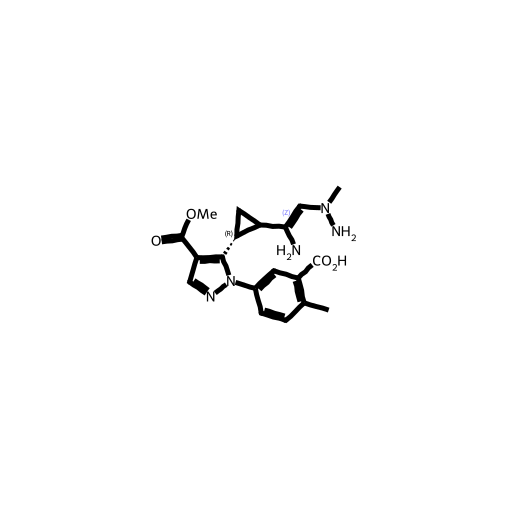 COC(=O)c1cnn(-c2ccc(C)c(C(=O)O)c2)c1[C@@H]1CC1/C(N)=C/N(C)N